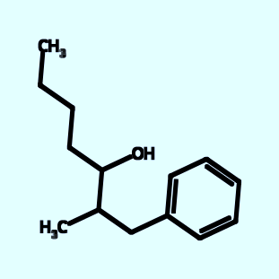 CCCCC(O)C(C)Cc1ccccc1